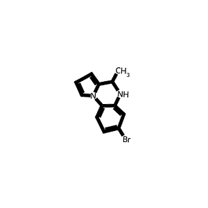 CC1Nc2cc(Br)ccc2-n2cccc21